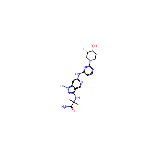 CC(C)n1nc(NC(C)(C)C(N)=O)c2cnc(Nc3ccnc(N4CC[C@@H](O)[C@@H](F)C4)n3)cc21